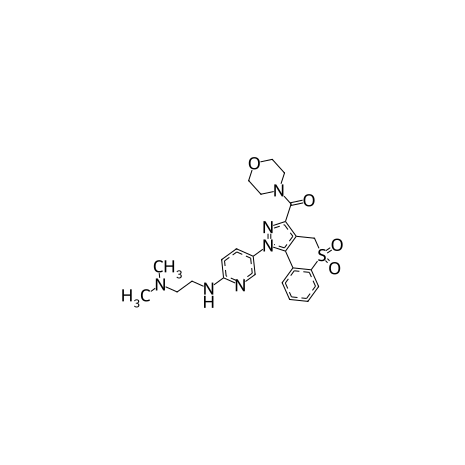 CN(C)CCNc1ccc(-n2nc(C(=O)N3CCOCC3)c3c2-c2ccccc2S(=O)(=O)C3)cn1